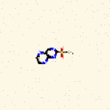 CS(=O)(=O)c1ncc2nccnc2n1